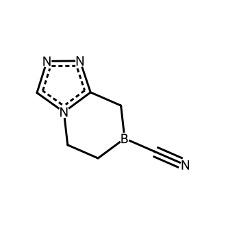 N#CB1CCn2cnnc2C1